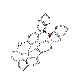 c1ccc(N(c2ccccc2)c2ccc3c(c2)C2(c4ccccc4-c4ccc(N(c5ccccc5)c5ccccc5)cc42)c2c(ccc4ccccc24)O3)cc1